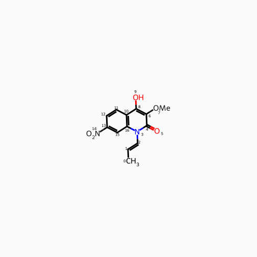 CC=Cn1c(=O)c(OC)c(O)c2ccc([N+](=O)[O-])cc21